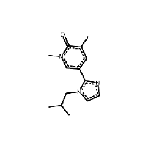 Cc1cc(-c2nccn2CC(C)C)cn(C)c1=O